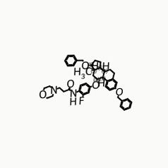 C[C@]12C[C@H](Oc3ccc(NC(=O)CCN4CCOCC4)c(F)c3)[C@@H]3c4ccc(OCc5ccccc5)cc4CC[C@H]3[C@@H]1CC[C@@H]2OCc1ccccc1